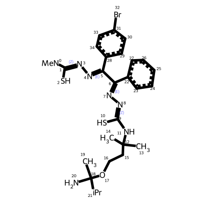 CN/C(S)=N/N=C(/C(=N/N=C(\S)NC(C)(C)CCOC(C)(N)C(C)C)c1ccccc1)c1ccc(Br)cc1